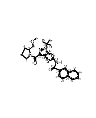 COC[C@@H]1CCCN1C(=O)c1nn(C(C)(C)C)c2nc(NC(=O)c3ccc4ccccc4c3)sc12